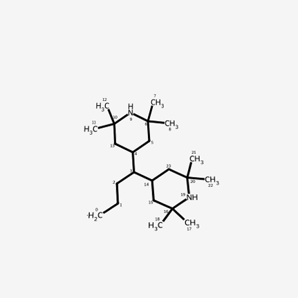 [CH2]CCC(C1CC(C)(C)NC(C)(C)C1)C1CC(C)(C)NC(C)(C)C1